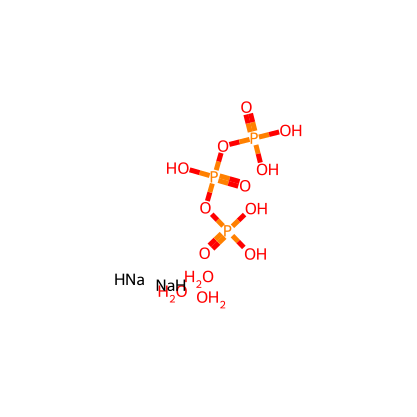 O.O.O.O=P(O)(O)OP(=O)(O)OP(=O)(O)O.[NaH].[NaH]